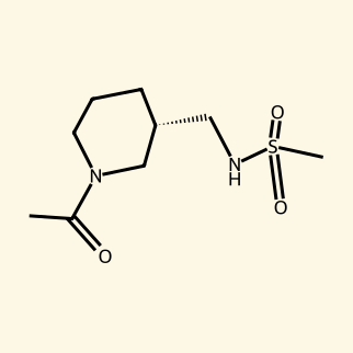 CC(=O)N1CCC[C@H](CNS(C)(=O)=O)C1